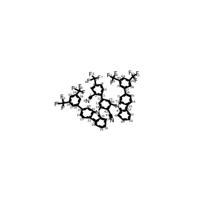 N#Cc1cc(C(F)(F)F)ccc1-c1cc(-n2c3ccccc3c3ccc(-c4cc(C(F)(F)F)cc(C(F)(F)F)c4)cc32)c(C#N)c(-n2c3ccccc3c3ccc(-c4cc(C(F)(F)F)cc(C(F)(F)F)c4)cc32)c1